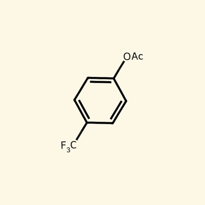 CC(=O)Oc1ccc(C(F)(F)F)cc1